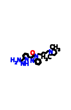 C[C@@H]1CCC[C@H](C)N1CCCCCn1c(=O)c(-c2cccc(C(=N)N)n2)nc2ccccc21